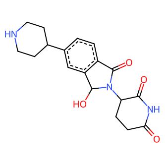 O=C1CCC(N2C(=O)c3ccc(C4CCNCC4)cc3C2O)C(=O)N1